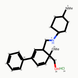 CNC1CCC(NCC2C=C(c3ccccc3)C=CC2(CO)OC)CC1.Cl